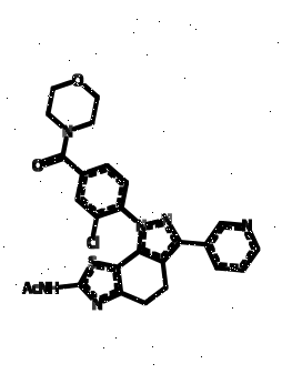 CC(=O)Nc1nc2c(s1)-c1c(c(-c3cccnc3)nn1-c1ccc(C(=O)N3CCOCC3)cc1Cl)CC2